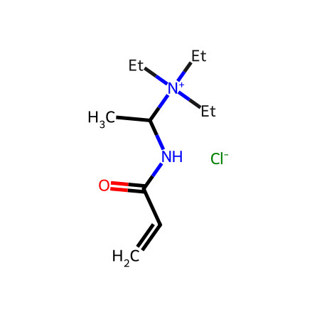 C=CC(=O)NC(C)[N+](CC)(CC)CC.[Cl-]